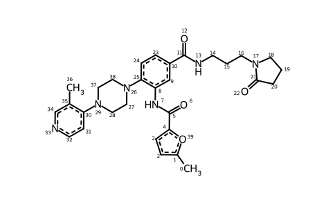 Cc1ccc(C(=O)Nc2cc(C(=O)NCCCN3CCCC3=O)ccc2N2CCN(c3ccncc3C)CC2)o1